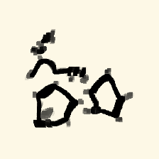 CCP.O.[AlH3].c1cc[nH]c1.c1ccoc1